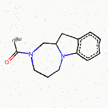 CCCCC(=O)N1CCCN2c3ccccc3CC2C1